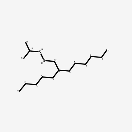 CCCCCCC(CCCCC)CSSC(C)C